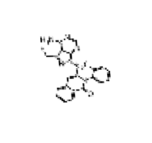 Cc1ccccc1-n1c(Cn2nc(CF)c3c(N)ncnc32)cc2ccccc2c1=O